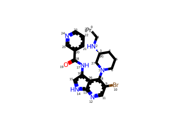 CC(C)CN[C@@H]1CCCN(c2c(Br)cnc3[nH]cc(NC(=O)c4cccnc4)c23)C1